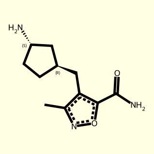 Cc1noc(C(N)=O)c1C[C@H]1CC[C@H](N)C1